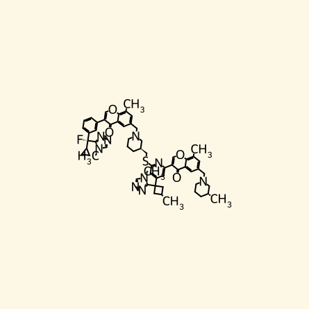 Cc1cc(CN2CCC[C@H](CSc3cc(C4(c5nncn5C)CC(C)C4)cc(-c4coc5c(C)cc(CN6CCC[C@H](C)C6)cc5c4=O)n3)C2)cc2c(=O)c(-c3cccc([C@@](F)(c4nncn4C)C4CC4)c3)coc12